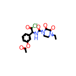 CCN1CCN(C(=O)NC(C(=O)Cl)c2cccc(OC(C)=O)c2)C(=O)C1=O